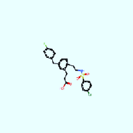 O=C(O)CCc1cc(Cc2ccc(F)cc2)ccc1CCNS(=O)(=O)c1ccc(Cl)cc1